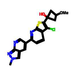 COC1CC(O)(c2sc3nc(-c4cnc5nn(C)cc5c4)ccc3c2Cl)C1